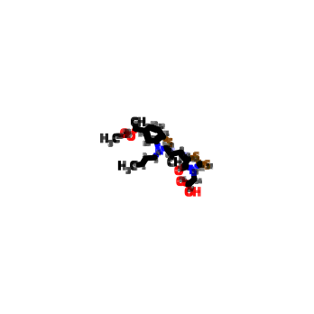 CCCCN1/C(=C(C)/C=C2/SC(=S)N(CC(=O)O)C2=O)Sc2ccc(C(C)OOC)cc21